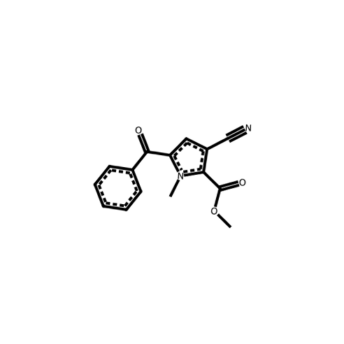 COC(=O)c1c(C#N)cc(C(=O)c2ccccc2)n1C